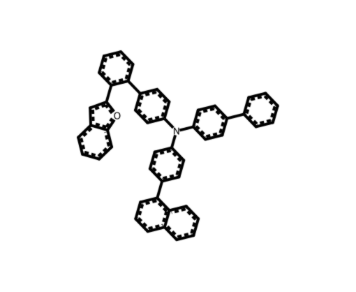 c1ccc(-c2ccc(N(c3ccc(-c4ccccc4-c4cc5ccccc5o4)cc3)c3ccc(-c4cccc5ccccc45)cc3)cc2)cc1